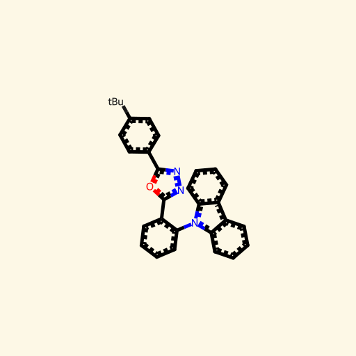 CC(C)(C)c1ccc(-c2nnc(-c3ccccc3-n3c4ccccc4c4ccccc43)o2)cc1